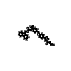 CC(C)(C)OC(=O)n1cnc(-c2ccc(OCc3ccc(S(C)(=O)=NC(=O)OCC4c5ccccc5-c5ccccc54)cc3)cc2)c1